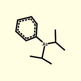 CC(C)[As](c1ccccc1)C(C)C